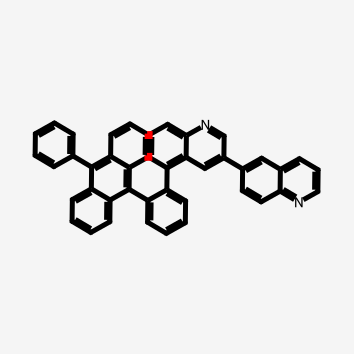 c1ccc(-c2c3ccccc3c(-c3ccccc3-c3cccc4ncc(-c5ccc6ncccc6c5)cc34)c3ccccc23)cc1